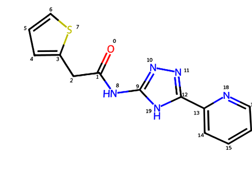 O=C(Cc1cccs1)Nc1nnc(-c2ccccn2)[nH]1